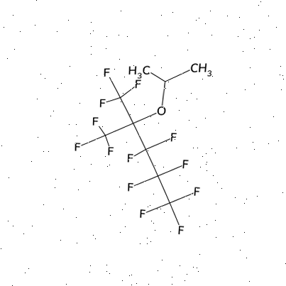 CC(C)OC(C(F)(F)F)(C(F)(F)F)C(F)(F)C(F)(F)C(F)(F)F